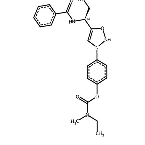 CCN(C)C(=O)Oc1ccc(N2C=C([C@H](CO)NC(=O)c3ccccc3)ON2)cc1